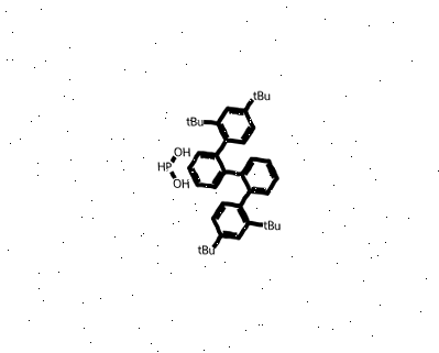 CC(C)(C)c1ccc(-c2ccccc2-c2ccccc2-c2ccc(C(C)(C)C)cc2C(C)(C)C)c(C(C)(C)C)c1.OPO